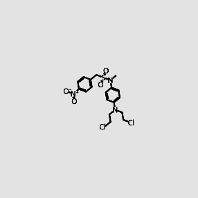 CN(c1ccc(N(CCCl)CCCl)cc1)S(=O)(=O)Cc1ccc([N+](=O)[O-])cc1